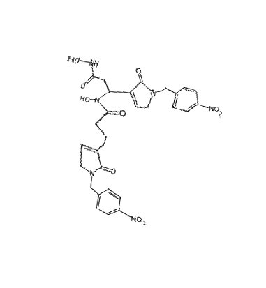 O=C(CC(C1=CCN(Cc2ccc([N+](=O)[O-])cc2)C1=O)N(O)C(=O)CCC1=CCN(Cc2ccc([N+](=O)[O-])cc2)C1=O)NO